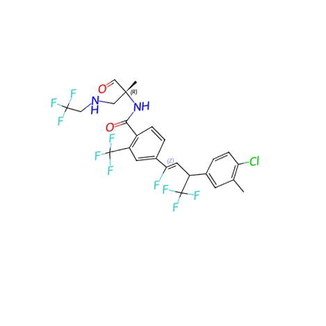 Cc1cc(C(/C=C(\F)c2ccc(C(=O)N[C@@](C)(C=O)CNCC(F)(F)F)c(C(F)(F)F)c2)C(F)(F)F)ccc1Cl